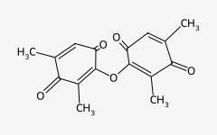 CC1=CC(=O)C(OC2=C(C)C(=O)C(C)=CC2=O)=C(C)C1=O